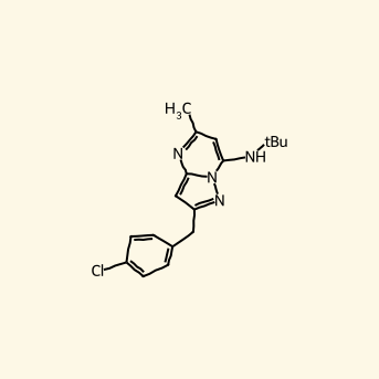 Cc1cc(NC(C)(C)C)n2nc(Cc3ccc(Cl)cc3)cc2n1